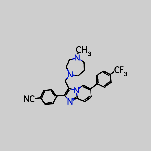 CN1CCCN(Cc2c(-c3ccc(C#N)cc3)nc3ccc(-c4ccc(C(F)(F)F)cc4)cn23)CC1